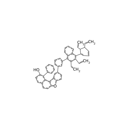 C=Cc1c(C=C)c(-c2cccc(-c3ccc4oc5ccc6ccc(O)c(-c7ccccc7)c6c5c4c3)c2)c2ccccc2c1C1=CC=CC(C=C)C1C=C